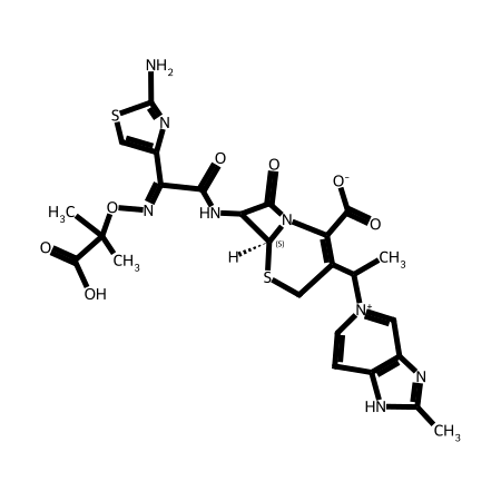 Cc1nc2c[n+](C(C)C3=C(C(=O)[O-])N4C(=O)C(NC(=O)C(=NOC(C)(C)C(=O)O)c5csc(N)n5)[C@@H]4SC3)ccc2[nH]1